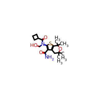 CC1(C)Cc2c(sc(N(CO)C(=O)C3CCC3)c2C(N)=O)C(C)(C)O1